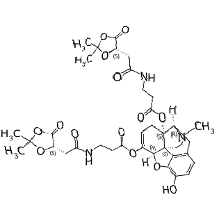 CN1CC[C@]23c4c5ccc(O)c4O[C@H]2C(OC(=O)CCNC(=O)C[C@@H]2OC(C)(C)OC2=O)=CC[C@@]3(OC(=O)CCNC(=O)C[C@@H]2OC(C)(C)OC2=O)[C@H]1C5